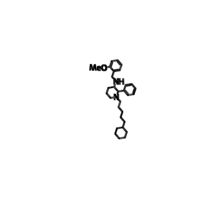 COc1ccccc1CNC1CCCN(CCCCCC2CCCCC2)C1c1ccccc1